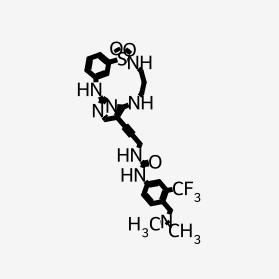 CN(C)Cc1ccc(NC(=O)NCC#Cc2cnc3nc2NCCCNS(=O)(=O)c2cccc(c2)N3)cc1C(F)(F)F